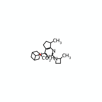 CC1CCc2c1nc(N1CCC1C)nc2N1CC2CC(C1)C2CC(=O)O